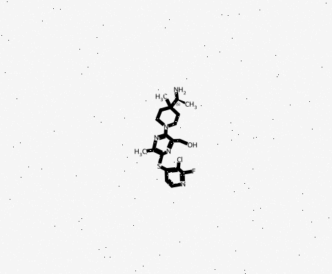 Cc1nc(N2CCC(C)([C@H](C)N)CC2)c(CO)nc1Sc1ccnc(F)c1Cl